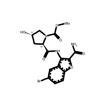 CC(C)(C)OC(=O)N1C[C@@H](O)C[C@@H]1C(=O)Nc1c(C(N)=O)oc2ccc(Br)cc12